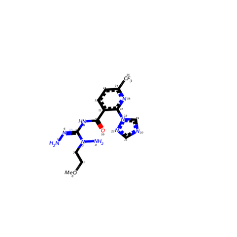 COCCN(N)/C(=N\N)NC(=O)c1ccc(C(F)(F)F)nc1-n1cncn1